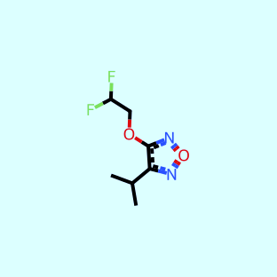 CC(C)c1nonc1OCC(F)F